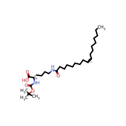 CCCCCCCC/C=C\CCCCCCCC(=O)NCCCC[C@H](NC(=O)OC(C)(C)C)C(=O)O